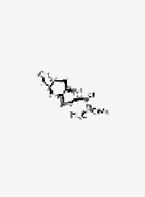 C=Cc1ccc2nc(C(=O)N(C)OC)ccc2c1